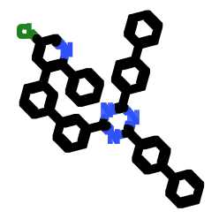 Clc1cnc(-c2ccccc2)c(-c2cccc(-c3cccc(-c4nc(-c5ccc(-c6ccccc6)cc5)nc(-c5ccc(-c6ccccc6)cc5)n4)c3)c2)c1